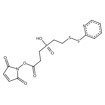 O=C(CCP(=O)(O)CCSSc1ccccn1)ON1C(=O)C=CC1=O